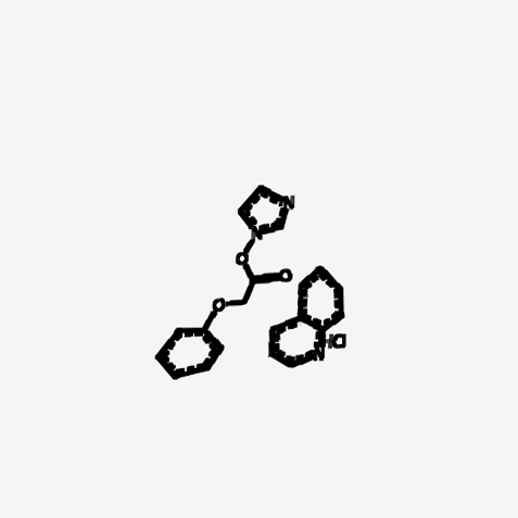 Cl.O=C(COc1ccccc1)On1ccnc1.c1ccc2ncccc2c1